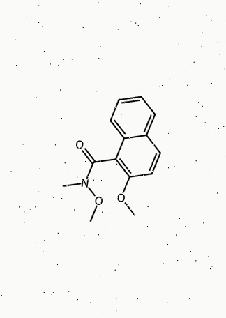 COc1ccc2ccccc2c1C(=O)N(C)OC